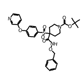 CC(C)(C)OC(=O)N1CCC(C(=O)NOCc2ccccc2)(S(=O)(=O)c2ccc(Oc3cccnc3)cc2)CC1